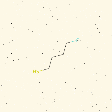 FCCCCS